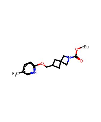 CC(C)(C)OC(=O)N1CC2(CC(COc3ccc(C(F)(F)F)cn3)C2)C1